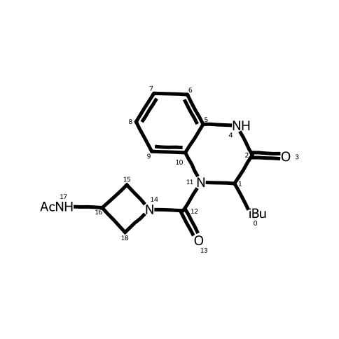 CCC(C)C1C(=O)Nc2ccccc2N1C(=O)N1CC(NC(C)=O)C1